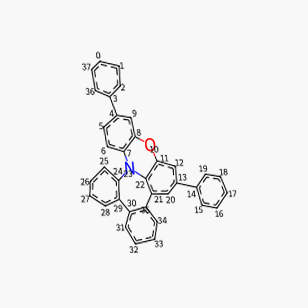 c1ccc(-c2ccc3c(c2)Oc2cc(-c4ccccc4)cc4c2N3c2ccccc2-c2ccccc2-4)cc1